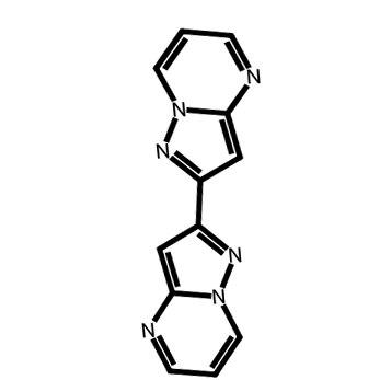 c1cnc2cc(-c3cc4ncccn4n3)nn2c1